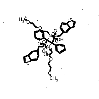 COCCOCCN([C@](C(=O)O)(c1ccccc1)[C@@](C(=O)NO)(c1ccccc1)N(CCOCCOC)S(=O)(=O)Cc1ccc2sccc2c1)S(=O)(=O)Cc1ccc2sccc2c1